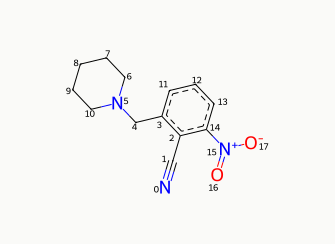 N#Cc1c(CN2CCCCC2)cccc1[N+](=O)[O-]